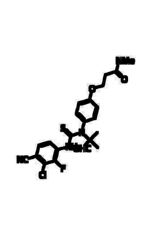 CNC(=O)CCOc1ccc(N(C(=S)Nc2ccc(C#N)c(Cl)c2F)C(C)(C)C=O)cc1